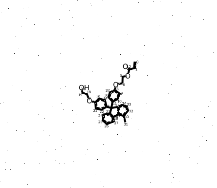 C=CC(=O)OCCOc1ccc(C2(c3ccc(OCCO)cc3)c3ccccc3-c3c(C)cccc32)cc1